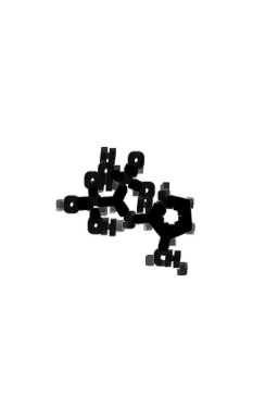 Cc1ccsc1SC(P(=O)(O)O)P(=O)(O)O